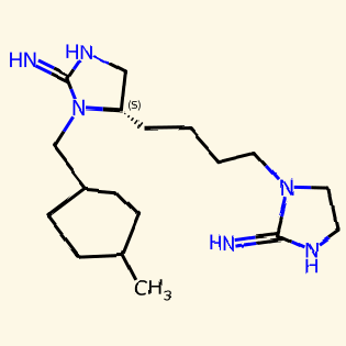 CC1CCC(CN2C(=N)NC[C@@H]2CCCCN2CCNC2=N)CC1